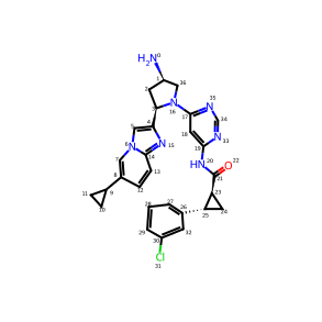 N[C@@H]1C[C@H](c2cn3cc(C4CC4)ccc3n2)N(c2cc(NC(=O)[C@H]3C[C@@H]3c3cccc(Cl)c3)ncn2)C1